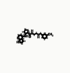 Cc1cccc(CNCCNC(=O)C2=C(Nc3ccnc4[nH]ccc34)CCS2)c1